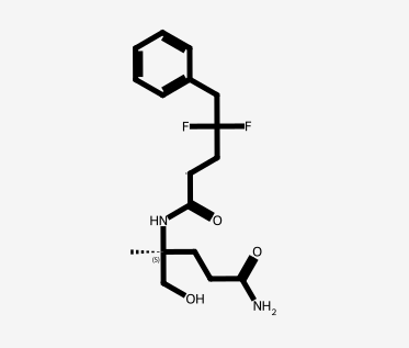 C[C@@](CO)(CCC(N)=O)NC(=O)[CH]CC(F)(F)Cc1ccccc1